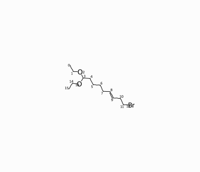 CCOC(CCCC/C=C/CCBr)OCC